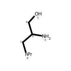 [CH2]CCCC(N)CO